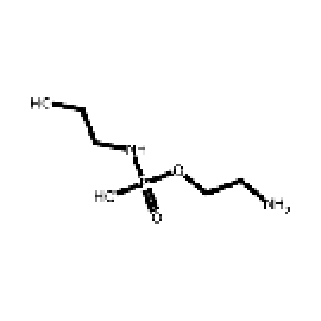 NCCOP(=O)(O)NCCO